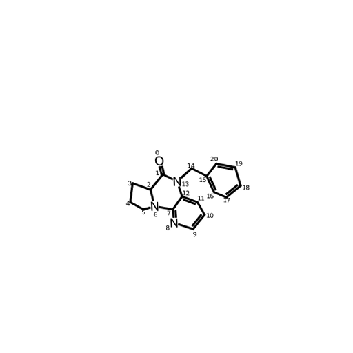 O=C1C2CCCN2c2ncccc2N1Cc1ccccc1